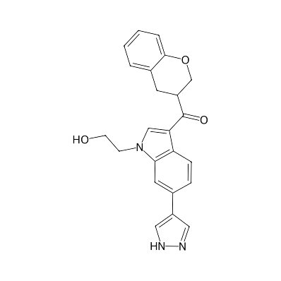 O=C(c1cn(CCO)c2cc(-c3cn[nH]c3)ccc12)C1COc2ccccc2C1